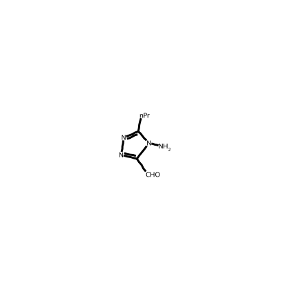 CCCc1nnc(C=O)n1N